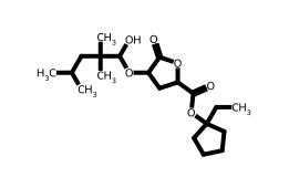 CCC1(OC(=O)C2CC(OC(O)C(C)(C)CC(C)C)C(=O)O2)CCCC1